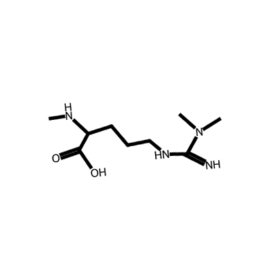 CNC(CCCNC(=N)N(C)C)C(=O)O